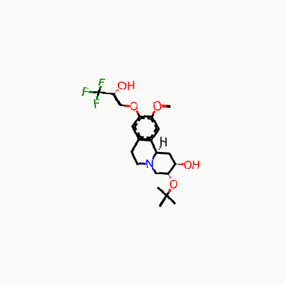 COc1cc2c(cc1OC[C@@H](O)C(F)(F)F)CCN1C[C@@H](OC(C)(C)C)[C@H](O)C[C@H]21